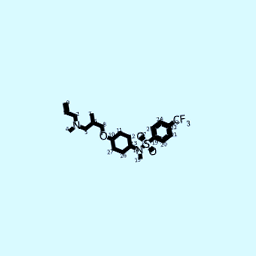 C=CCN(C)CC(C)COC1CCC(N(C)S(=O)(=O)c2ccc(C(F)(F)F)cc2)CC1